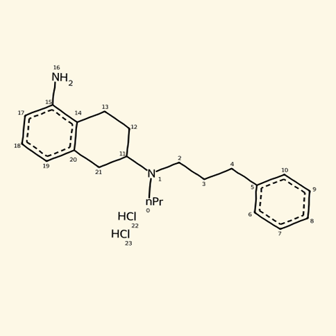 CCCN(CCCc1ccccc1)C1CCc2c(N)cccc2C1.Cl.Cl